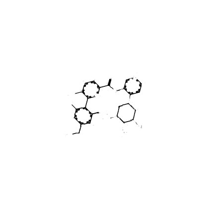 CCc1cc(F)c(-c2nc(C(=O)Nc3cnccc3[C@H]3C[C@@H](N)[C@H](O)[C@@H](C)C3)ccc2F)c(F)c1